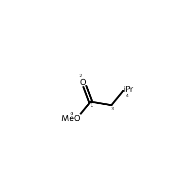 [CH]OC(=O)CC(C)C